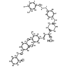 Cc1ccc(OCCc2ccc(CN3CCN(C(=O)C=Cc4cc(C)c(Oc5ccc(OCc6ccccc6Cl)cn5)c(Cl)c4)CC3)cc2)cc1C.Cl